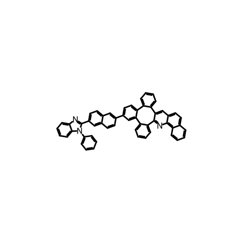 c1ccc(-n2c(-c3ccc4cc(-c5ccc6c(c5)-c5ccccc5-c5nc7c(ccc8ccccc87)cc5-c5ccccc5-6)ccc4c3)nc3ccccc32)cc1